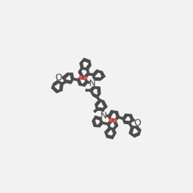 Cc1cc(-c2ccc(N(c3ccc(-c4ccc5oc6ccccc6c5c4)cc3)c3ccccc3-c3cccc4ccccc34)c(C)c2)ccc1N(c1ccc(-c2ccc3oc4ccccc4c3c2)cc1)c1ccccc1-c1cccc2ccccc12